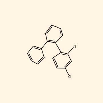 Clc1ccc(-c2ccc[c]c2-c2ccccc2)c(Cl)c1